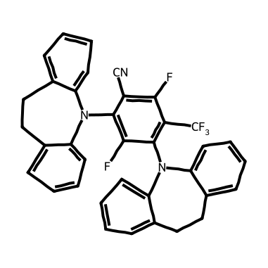 N#Cc1c(F)c(C(F)(F)F)c(N2c3ccccc3CCc3ccccc32)c(F)c1N1c2ccccc2CCc2ccccc21